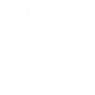 O=C(C=Cc1ccccc1NCc1cccc2ccccc12)NO